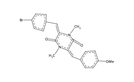 COc1ccc(C=c2c(=O)n(C)c(=Cc3ccc(Br)cc3)c(=O)n2C)cc1